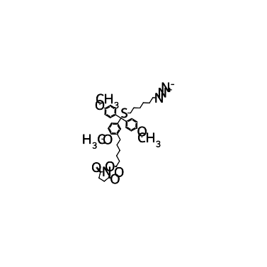 COc1ccc(C(SCCCCCCN=[N+]=[N-])(c2ccc(OC)cc2)c2ccc(OC)c(CCCCCC(=O)ON3C(=O)CCC3=O)c2)cc1